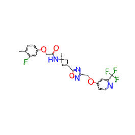 Cc1ccc(OCC(=O)NC2(C)C=C(c3nc(COc4ccnc(C(F)(F)F)c4)no3)C2)cc1F